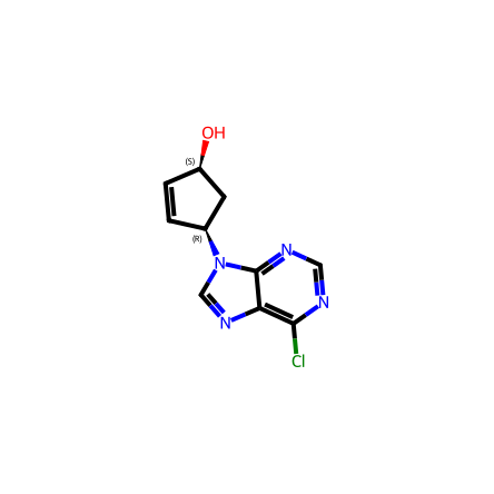 O[C@@H]1C=C[C@H](n2cnc3c(Cl)ncnc32)C1